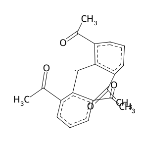 CC(=O)c1cccc(C(C)=O)c1[CH]c1c(C(C)=O)cccc1C(C)=O